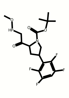 COPCC(=O)C1CC(c2c(F)c(F)cc(F)c2F)CN1C(=O)OC(C)(C)C